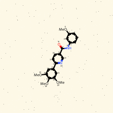 COc1cccc(NC(=O)c2ccc(-c3cc(OC)c(OC)c(OC)c3)nc2)c1